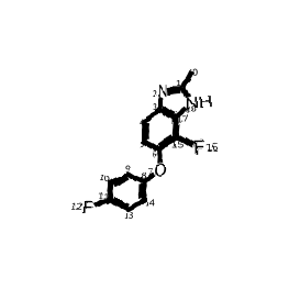 Cc1nc2ccc(Oc3ccc(F)cc3)c(F)c2[nH]1